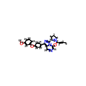 CC#CC(=O)N1CCC[C@H]1c1nc(-c2ccc(Oc3cccc(OC)c3)cc2)c2cnccn12